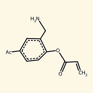 C=CC(=O)Oc1ccc(C(C)=O)cc1CN